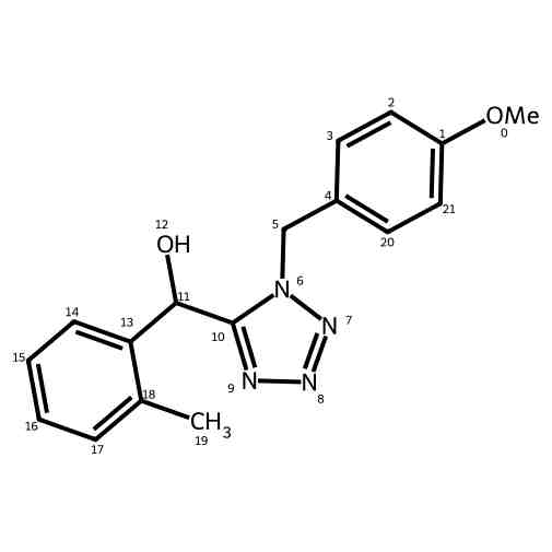 COc1ccc(Cn2nnnc2C(O)c2ccccc2C)cc1